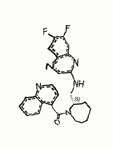 O=C(c1ccnc2ccccc12)N1CCCC[C@H]1CNc1cnc2cc(F)c(F)cc2n1